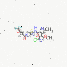 COc1cnc(Cl)cc1-c1cc(C)ncc1C(=O)Nc1nc2c(s1)CN(C(=O)C1CC(OC(F)(F)F)C1)C2